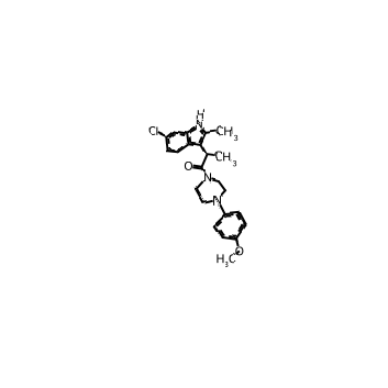 COc1ccc(N2CCN(C(=O)C(C)c3c(C)[nH]c4cc(Cl)ccc34)CC2)cc1